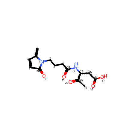 C=C1C=CC(=O)N1CCCC(=O)NC(CC(=O)O)C(C)=O